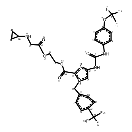 O=C(Nc1ccc(OC(F)(F)F)cc1)Nc1cn(Cc2ccc(C(F)(F)F)cc2)c(C(=O)OCCOC(=O)CNC2CC2)n1